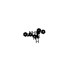 c1cc(N2CCCCC2)c2cc(-c3n[nH]c4ncc(-c5cncc(CN6CCCCC6)c5)cc34)[nH]c2c1